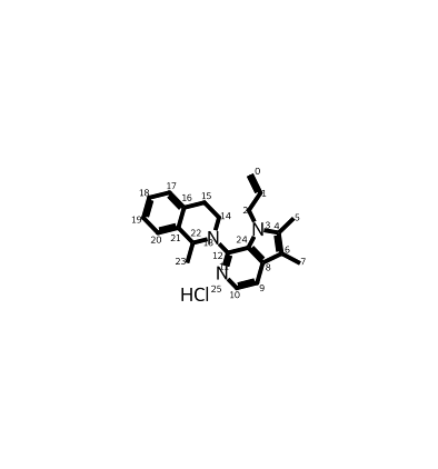 C=CCn1c(C)c(C)c2ccnc(N3CCc4ccccc4C3C)c21.Cl